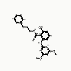 COc1cc(OC)nc(Oc2cccc(Cl)c2C(=O)OCCCc2ccccc2)n1